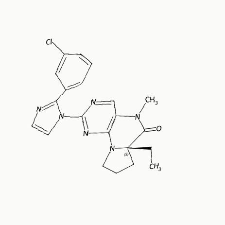 CC[C@@]12CCCN1c1nc(-n3ccnc3-c3cccc(Cl)c3)ncc1N(C)C2=O